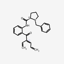 C=C/C=C(\C=C)C(=O)c1ccccc1NC(=O)[C@H]1CCCN1Cc1ccccc1